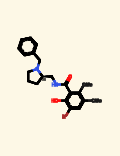 COc1cc(Br)c(O)c(C(=O)NC[C@H]2CCCN2Cc2ccccc2)c1OC